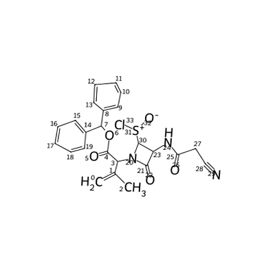 C=C(C)C(C(=O)OC(c1ccccc1)c1ccccc1)N1C(=O)C(NC(=O)CC#N)C1[S+]([O-])Cl